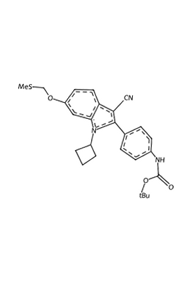 CSCOc1ccc2c(C#N)c(-c3ccc(NC(=O)OC(C)(C)C)cc3)n(C3CCC3)c2c1